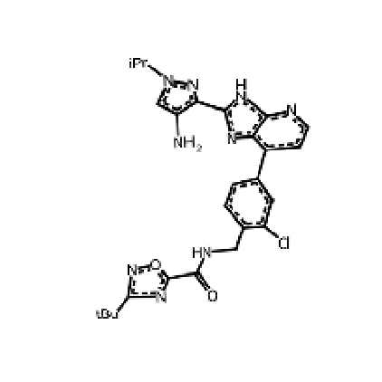 CC(C)n1cc(N)c(-c2nc3c(-c4ccc(CNC(=O)c5nc(C(C)(C)C)no5)c(Cl)c4)ccnc3[nH]2)n1